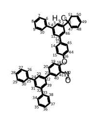 CC1(c2cc(-c3ccccc3)cc(-c3ccc(Oc4ccc(-c5cc(-c6ccccc6)cc(-c6ccccc6)c5)cc4N=O)cc3)c2)C=CC=CC1